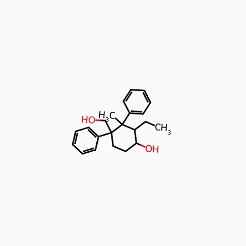 CCC1C(O)CCC(CO)(c2ccccc2)C1(C)c1ccccc1